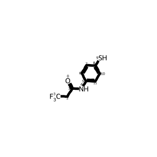 O=C(CC(F)(F)F)Nc1ccc(S)cc1